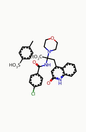 CCOC(=O)C(Cc1cc(=O)[nH]c2ccccc12)(NC(=O)c1ccc(Cl)cc1)N1CCOCC1.Cc1ccc(S(=O)(=O)O)cc1